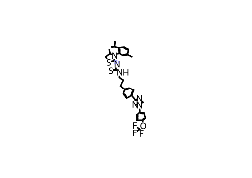 Cc1ccc(C(C)C)c(N2/C(=N/C(=S)NCCCc3ccc(-c4ncn(-c5ccc(OC(F)(F)F)cc5)n4)cc3)SCC2C)c1